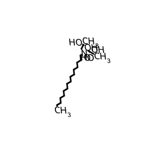 CCCCCCCCCCCCCCCC[N+]([O-])(CC(C)(O)O)CC(C)(O)O